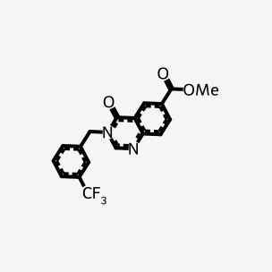 COC(=O)c1ccc2ncn(Cc3cccc(C(F)(F)F)c3)c(=O)c2c1